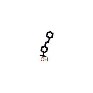 CC(C)(O)c1ccc(/C=C/c2ccccc2)cc1